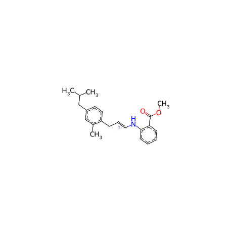 COC(=O)c1ccccc1N/C=C/Cc1ccc(CC(C)C)cc1C